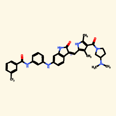 Cc1[nH]c(/C=C2\C(=O)Nc3cc(Nc4cccc(NC(=O)c5cccc(C(F)(F)F)c5)c4)ccc32)c(C)c1C(=O)N1CCC(N(C)C)C1